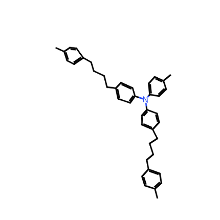 Cc1ccc(CCCCc2ccc(N(c3ccc(C)cc3)c3ccc(CCCCc4ccc(C)cc4)cc3)cc2)cc1